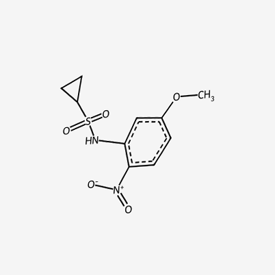 COc1ccc([N+](=O)[O-])c(NS(=O)(=O)C2CC2)c1